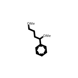 COCCCC(OC)c1ccccc1